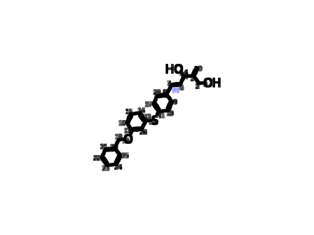 C=C(CO)[C@@H](O)/C=C/c1ccc(Sc2cccc(OCc3ccccc3)c2)cc1